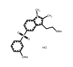 CNCCc1c(C)n(C)c2ccc(S(=O)(=O)c3cccc(OC)c3)cc12.Cl